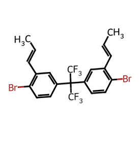 CC=Cc1cc(C(c2ccc(Br)c(C=CC)c2)(C(F)(F)F)C(F)(F)F)ccc1Br